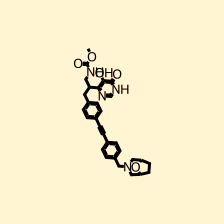 COC(=O)NCC(Cc1ccc(C#Cc2ccc(CN3CC4CCC(C3)O4)cc2)cc1)c1nc[nH]c(=O)c1O